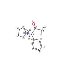 CC(C)C(=O)C(c1ccccc1)N1C2CCC1CC2